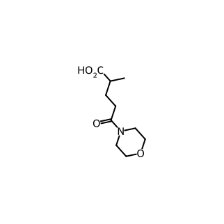 CC(CCC(=O)N1CCOCC1)C(=O)O